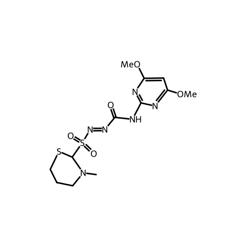 COc1cc(OC)nc(NC(=O)/N=N/S(=O)(=O)C2SCCCN2C)n1